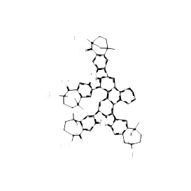 CC(C)C12CCC(C)(CC1)c1cc3c4cc5c6ccccc6c6c(cc7c8cc9c(cc8n8c%10cc%11c(cc%10c6c78)C6(C)CCC(C(C)C)(CC6)C%11=O)C(=O)C6(C(C)C)CCC9(C)CC6)c5c5c6cc7c(cc6n(c3cc1C2=O)c45)C(=O)C1(C(C)C)CCC7(C)CC1